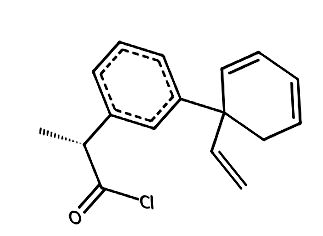 C=CC1(c2cccc([C@@H](C)C(=O)Cl)c2)C=CC=CC1